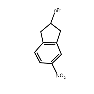 CCCC1Cc2ccc([N+](=O)[O-])cc2C1